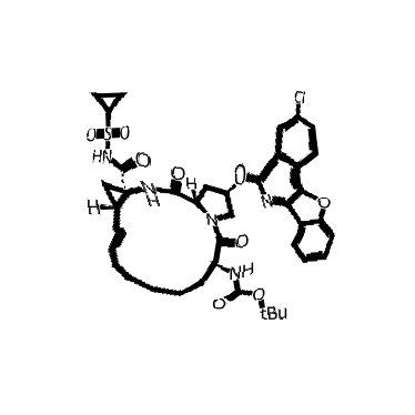 CC(C)(C)OC(=O)N[C@H]1CCCCC/C=C\[C@@H]2C[C@@]2(C(=O)NS(=O)(=O)C2CC2)NC(=O)[C@@H]2C[C@@H](Oc3nc4c5ccccc5oc4c4ccc(Cl)cc34)CN2C1=O